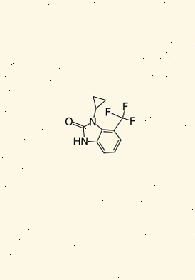 O=c1[nH]c2cccc(C(F)(F)F)c2n1C1CC1